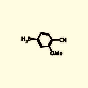 Bc1ccc(C#N)c(OC)c1